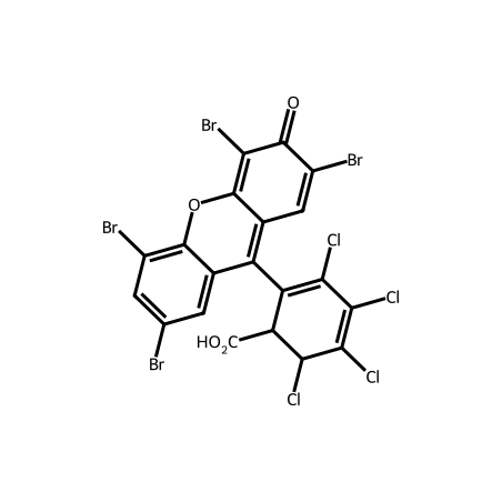 O=C(O)C1C(c2c3cc(Br)c(=O)c(Br)c-3oc3c(Br)cc(Br)cc23)=C(Cl)C(Cl)=C(Cl)C1Cl